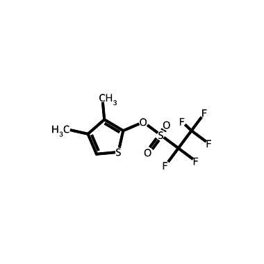 Cc1csc(OS(=O)(=O)C(F)(F)C(F)(F)F)c1C